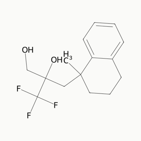 CC1(CC(O)(CO)C(F)(F)F)CCCc2ccccc21